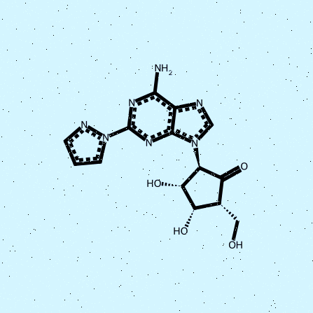 Nc1nc(-n2cccn2)nc2c1ncn2[C@H]1C(=O)[C@H](CO)[C@H](O)[C@@H]1O